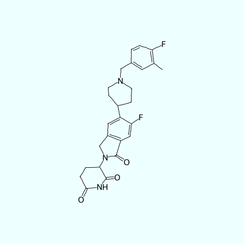 Cc1cc(CN2CCC(c3cc4c(cc3F)C(=O)N(C3CCC(=O)NC3=O)C4)CC2)ccc1F